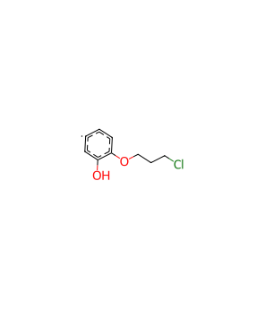 Oc1c[c]ccc1OCCCCl